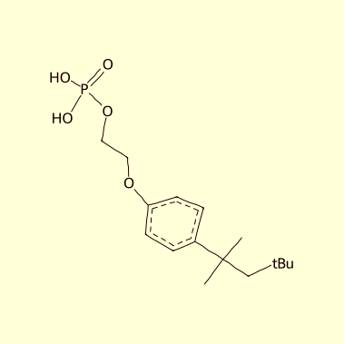 CC(C)(C)CC(C)(C)c1ccc(OCCOP(=O)(O)O)cc1